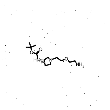 CC(C)(C)OC(=O)N[C@@H]1CCN(CCOCCN)C1